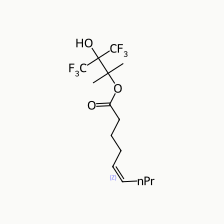 CCC/C=C\CCCC(=O)OC(C)(C)C(O)(C(F)(F)F)C(F)(F)F